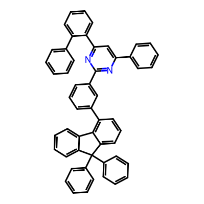 c1ccc(-c2cc(-c3ccccc3-c3ccccc3)nc(-c3cccc(-c4cccc5c4-c4ccccc4C5(c4ccccc4)c4ccccc4)c3)n2)cc1